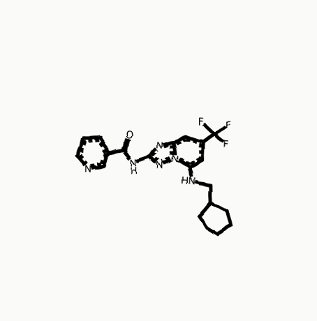 O=C(Nc1nc2cc(C(F)(F)F)cc(NCC3CCCCC3)n2n1)c1cccnc1